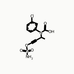 CC(C#COS(N)(=O)=O)N(C(=O)O)c1cccc(Cl)c1